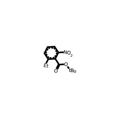 CCc1cccc([N+](=O)[O-])c1C(=O)OC(C)(C)C